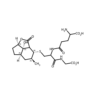 C[C@H]1C[C@H]2CC[C@H]3OC(=O)C([C@@H]1SCC(NC(=O)CCC(N)C(=O)O)C(=O)NCC(=O)O)[C@@]23O